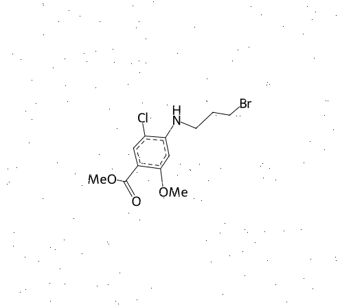 COC(=O)c1cc(Cl)c(NCCCBr)cc1OC